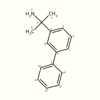 CC(C)(N)c1cccc(-c2ccccc2)c1